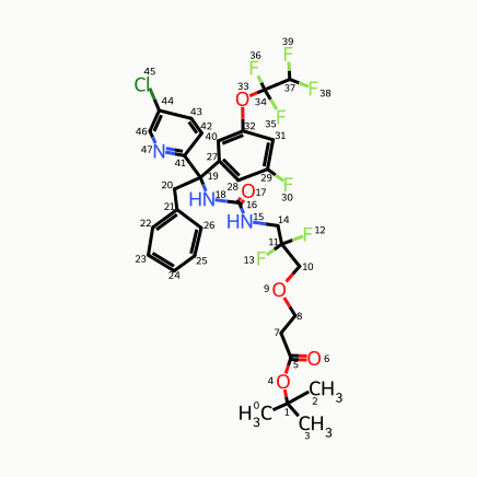 CC(C)(C)OC(=O)CCOCC(F)(F)CNC(=O)NC(Cc1ccccc1)(c1cc(F)cc(OC(F)(F)C(F)F)c1)c1ccc(Cl)cn1